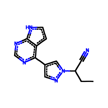 CCC(C#N)n1cc(-c2ncnc3[nH]ccc23)cn1